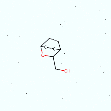 OCC1OC2CCC1CC2